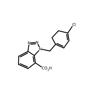 O=C(O)c1cccc2nnn(CC3=CC=C(Cl)CC3)c12